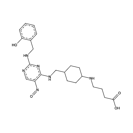 O=Nc1cnc(NCc2ccccc2O)nc1NCC1CCC(NCCCC(=O)O)CC1